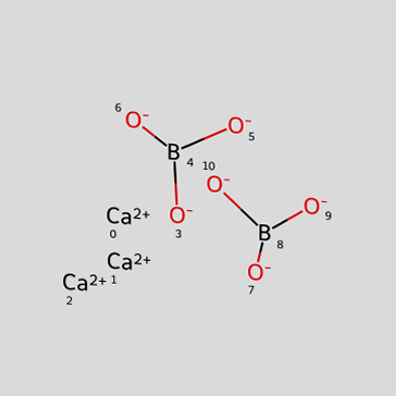 [Ca+2].[Ca+2].[Ca+2].[O-]B([O-])[O-].[O-]B([O-])[O-]